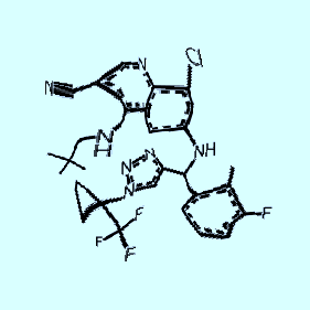 Cc1c(F)cccc1C(Nc1cc(Cl)c2ncc(C#N)c(NCC(C)(C)C)c2c1)c1cn(C2(C(F)(F)F)CC2)nn1